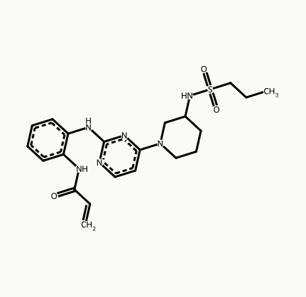 C=CC(=O)Nc1ccccc1Nc1nccc(N2CCCC(NS(=O)(=O)CCC)C2)n1